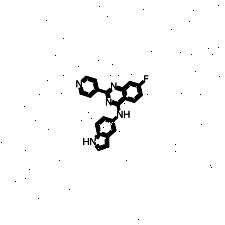 Fc1ccc2c(Nc3ccc4[nH]ccc4c3)nc(-c3ccncc3)nc2c1